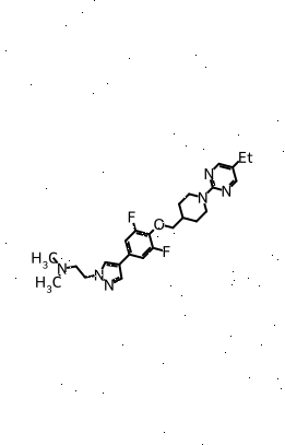 CCc1cnc(N2CCC(COc3c(F)cc(-c4cnn(CCN(C)C)c4)cc3F)CC2)nc1